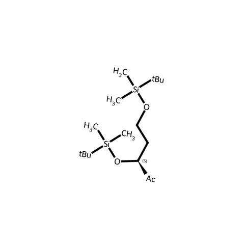 CC(=O)[C@H](CCO[Si](C)(C)C(C)(C)C)O[Si](C)(C)C(C)(C)C